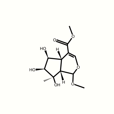 COC(=O)C1=COC(OC)[C@H]2[C@@H]1[C@H](O)[C@H](O)[C@]2(C)O